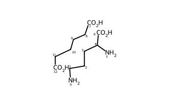 NCCCC(N)C(=O)O.O=C(O)CCCCC(=O)O